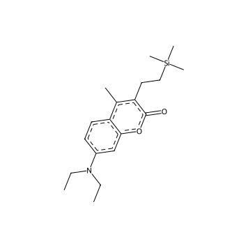 CCN(CC)c1ccc2c(C)c(CC[Si](C)(C)C)c(=O)oc2c1